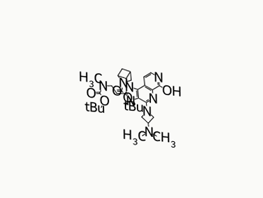 CN(CCc1nc2c(N3CC(N(C)C)C3)nc3c(O)nccc3c2n1C1C2CC1N(C(=O)OC(C)(C)C)C2)C(=O)OC(C)(C)C